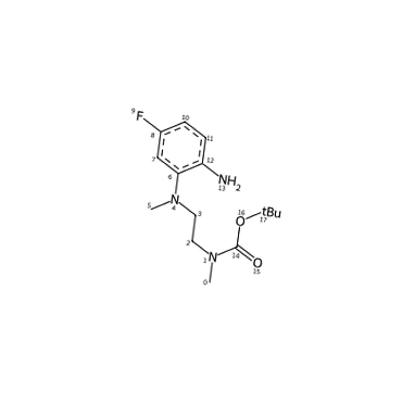 CN(CCN(C)c1cc(F)ccc1N)C(=O)OC(C)(C)C